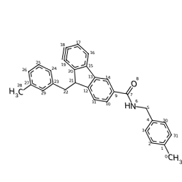 Cc1ccc(CNC(=O)c2ccc3c(c2)-c2ccc#cc2C3Cc2cccc(C)c2)cc1